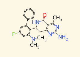 Cc1nc(N)nc2c1C(=O)NC(c1c(-c3ccccc3)cc(F)cc1N(C)C)C2